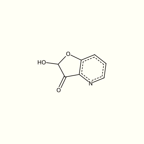 O=C1c2ncccc2OC1O